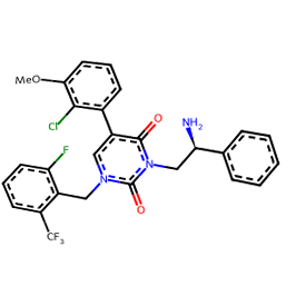 COc1cccc(-c2cn(Cc3c(F)cccc3C(F)(F)F)c(=O)n(C[C@@H](N)c3ccccc3)c2=O)c1Cl